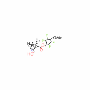 C/C=C(/CO)C1C(C(=O)OCc2c(F)c(F)c(COC)c(F)c2F)C1(C)C